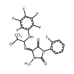 CN1C(=O)N(c2ccccc2F)C(=O)C1=NC(Nc1c(F)c(F)c(F)c(F)c1F)C(Cl)C(Cl)(Cl)Cl